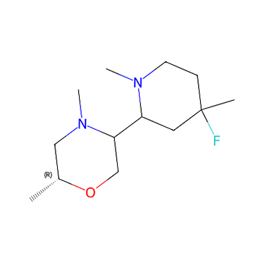 C[C@@H]1CN(C)C(C2CC(C)(F)CCN2C)CO1